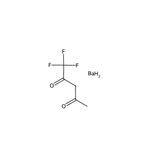 CC(=O)CC(=O)C(F)(F)F.[BaH2]